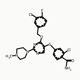 CN1CCN(c2ncc(Sc3ccc(C(N)=O)c(Cl)c3)c(OCc3ccc(F)c(Cl)c3)n2)CC1